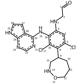 O=CCNc1cc(Cl)c(C2CCCONC2)c(Cl)c1Nc1ncnc2[nH]ccc12